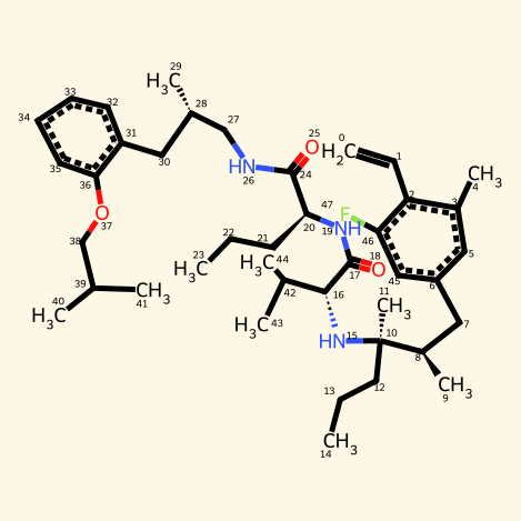 C=Cc1c(C)cc(C[C@@H](C)[C@@](C)(CCC)N[C@@H](C(=O)N[C@@H](CCC)C(=O)NC[C@@H](C)Cc2ccccc2OCC(C)C)C(C)C)cc1F